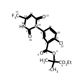 CCOC(=O)C(C)(C)OC(=O)c1cc(-n2c(=O)cc(C(F)(F)F)[nH]c2=O)ccc1Cl